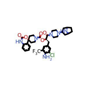 Nc1c(Cl)cc(C[C@@H](OC(=O)N2CCC3(CC2)OC(=O)Nc2ccccc23)C(=O)N2CCN(C3CC4CCC(C3)N4)CC2)cc1C(F)(F)F